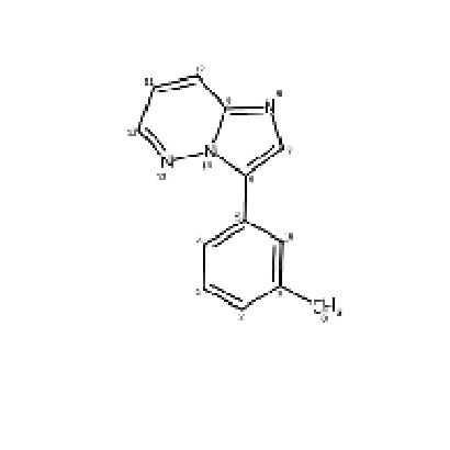 Cc1cccc(-c2cnc3cccnn23)c1